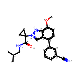 COc1ccc(-c2cccc(C#N)c2)c2cn(C3(C(=O)NCC(C)C)CC3)nc12